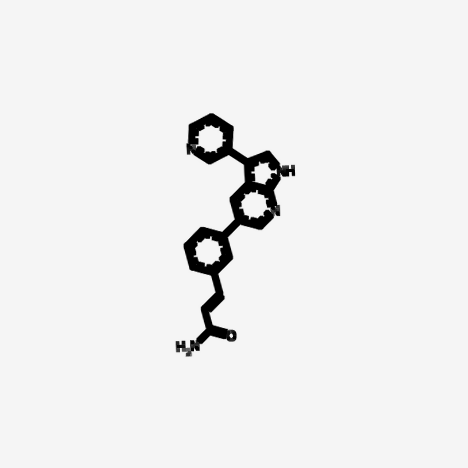 NC(=O)C=Cc1cccc(-c2cnc3[nH]cc(-c4cccnc4)c3c2)c1